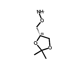 CC1(C)OC[C@@H](CO[NH])O1